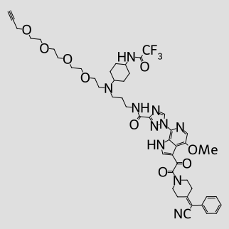 C#CCOCCOCCOCCOCCN(CCCNC(=O)c1ncn(-c2ncc(OC)c3c(C(=O)C(=O)N4CCC(=C(C#N)c5ccccc5)CC4)c[nH]c23)n1)C1CCC(NC(=O)C(F)(F)F)CC1